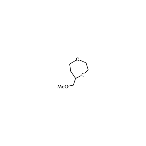 COCC1CCCOCC1